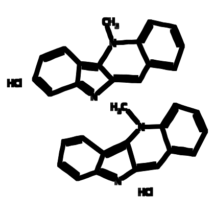 Cl.Cl.Cn1c2c3ccccc3nc-2cc2ccccc21.Cn1c2c3ccccc3nc-2cc2ccccc21